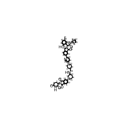 O=C1CCC(N2C(=O)c3ccc(N4CCC[C@@H](NCC5CCN(c6ccc(-c7ccc8c(c7)C(=O)N(C(C(=O)Nc7nccs7)c7cc(F)ccc7O)C8)nn6)CC5)C4)cc3C2=O)C(=O)N1